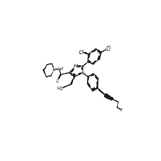 O=C(NN1CCCCC1)c1nc(-c2ccc(Cl)cc2Cl)n(-c2ccc(C#CCCF)cc2)c1CO